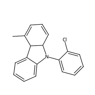 CC1=CC=CC2C1c1ccccc1N2c1ccccc1Cl